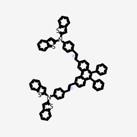 C(=C\c1ccc2c(-c3ccccc3)c(-c3ccccc3)c3ccc(/C=C/c4ccc(N(c5cc6ccccc6s5)c5cc6ccccc6s5)cc4)cc3c2c1)/c1ccc(N(c2cc3ccccc3s2)c2cc3ccccc3s2)cc1